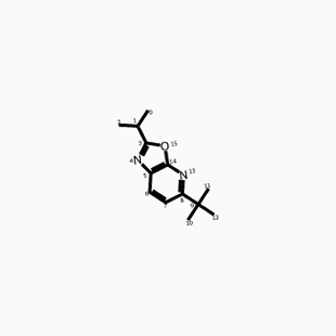 CC(C)c1nc2ccc(C(C)(C)C)nc2o1